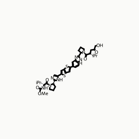 COC(=O)N[C@@H](C(=O)N1CCC[C@@H]1c1ncc(-c2cc3sc(-c4ccc5[nH]c(C6CCCN6C(=O)[C@H](CC(=O)CO)C(C)C)nc5c4)cc3s2)[nH]1)C(C)C